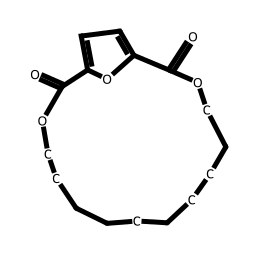 O=C1OCCCCCCCCCCOC(=O)c2ccc1o2